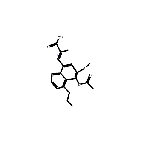 CCCc1cccc2c(/C=C(\C)C(=O)O)cc(OC)c(OC(C)=O)c12